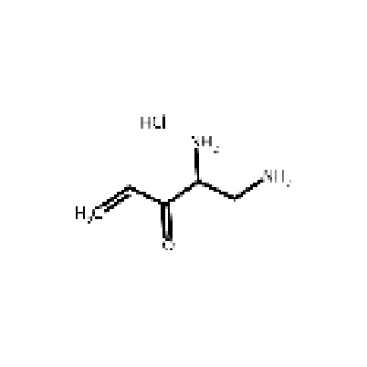 C=CC(=O)C(N)CN.Cl